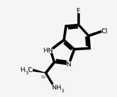 C[C@H](N)c1nc2cc(Cl)c(F)cc2[nH]1